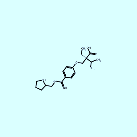 CC[C@](COc1ccc(C(=N)NCC2CCCN2)cc1)(C(=O)O)C(C)C